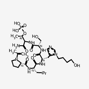 C=C(C)N1CCC[C@H]1C(=O)N[C@@H](CC(C)C)C(=O)N[C@@H](Cc1cncn1CCCCO)C(=O)N[C@@H](CO)C(=O)NC(C(N)=O)[C@@H](C)OP(=O)(O)O